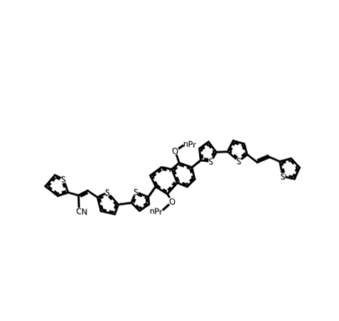 CCCOc1c(-c2ccc(-c3ccc(/C=C/c4cccs4)s3)s2)ccc2c(OCCC)c(-c3ccc(-c4ccc(/C=C(\C#N)c5cccs5)s4)s3)ccc12